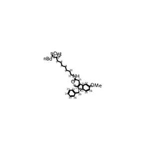 CCCCCCCCN(CCCC)C(=O)CCCCCCCNC(=O)Cc1c(C)n(Cc2ccccc2)c2ccc(OC)cc12